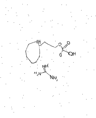 N=C(N)N.O=S(=O)(O)OCCC1CCCCCCN1